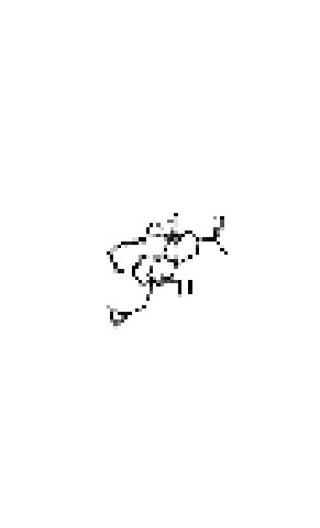 CC(=O)C1CC23CCC1[C@@H]1Oc4cccc5c4[C@@]12CCN(CC1=CC1)[C@@H]3C5